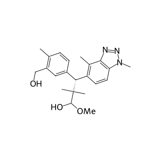 COC(O)C(C)(C)[C@H](c1ccc(C)c(CO)c1)c1ccc2c(nnn2C)c1C